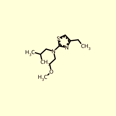 CCc1csc(N(CCOC)CC(C)C)n1